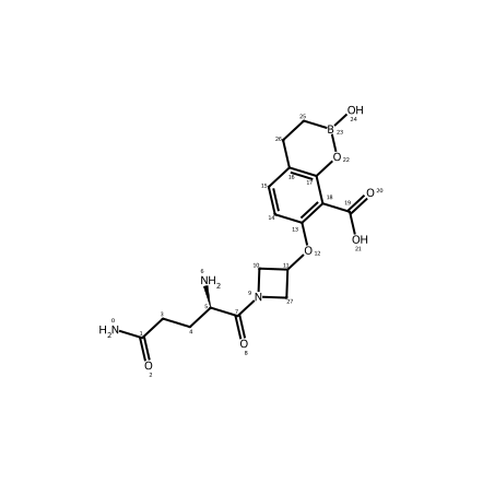 NC(=O)CC[C@@H](N)C(=O)N1CC(Oc2ccc3c(c2C(=O)O)OB(O)CC3)C1